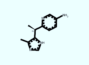 Cc1nc[nH]c1[C@@H](C)c1ccc(N)cn1